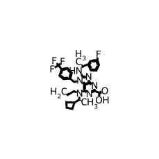 C=CCN(c1nc(C(=O)O)nc2nc(N[C@@H](C)c3cccc(F)c3)n(Cc3ccc(C(F)(F)F)cc3)c12)[C@H](C)C1CCC1